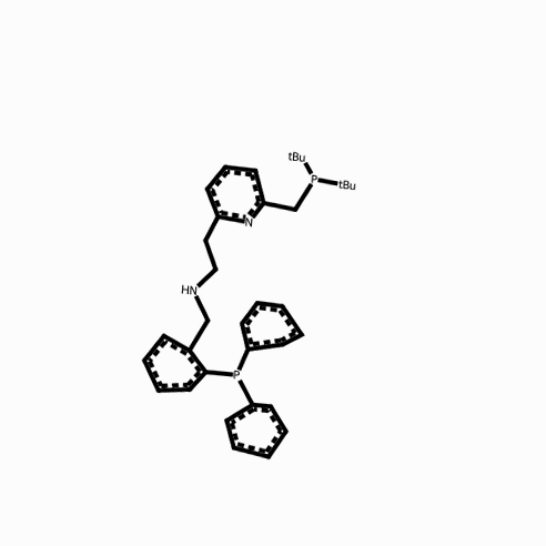 CC(C)(C)P(Cc1cccc(CCNCc2ccccc2P(c2ccccc2)c2ccccc2)n1)C(C)(C)C